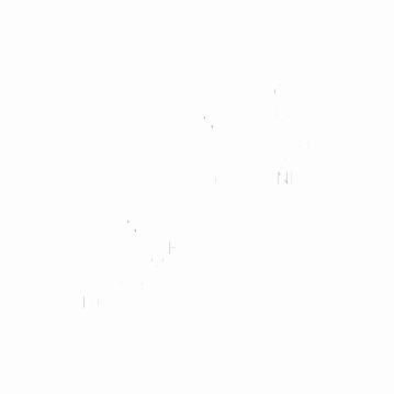 COc1cc2nccc(Oc3ccc(N(C(=O)C4(C(=O)O)CC4)C4CC4)c(F)c3)c2cc1C(N)=O